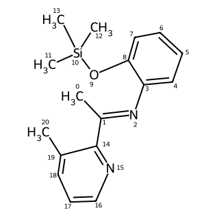 CC(=Nc1ccccc1O[Si](C)(C)C)c1ncccc1C